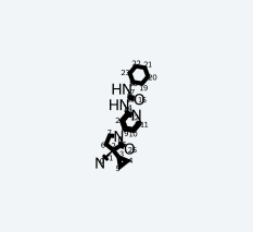 N#C[C@@]1(C2CC2)CCN(c2ccnc(NC(=O)NC3CCCCC3)c2)C1=O